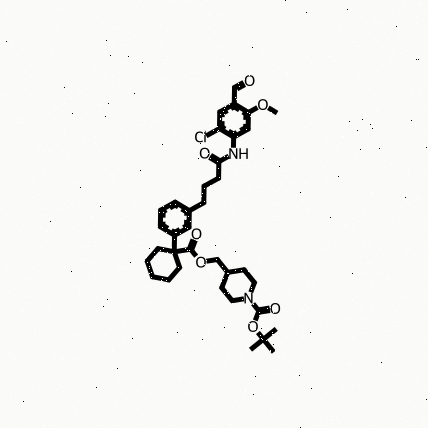 COc1cc(NC(=O)CCCc2cccc(C3(C(=O)OCC4CCN(C(=O)OC(C)(C)C)CC4)CCCCC3)c2)c(Cl)cc1C=O